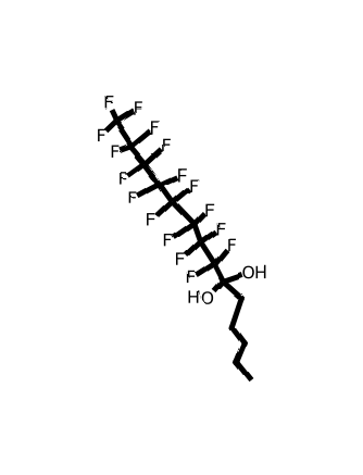 CCCCCC(O)(O)C(F)(F)C(F)(F)C(F)(F)C(F)(F)C(F)(F)C(F)(F)C(F)(F)C(F)(F)F